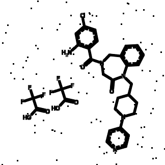 Nc1cc(Cl)ccc1C(=O)N1CC(=O)N(CC2CCN(c3ccncc3)CC2)c2ccccc2C1.O=C(O)C(F)(F)F.O=C(O)C(F)(F)F